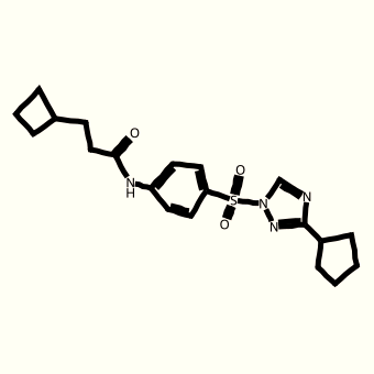 O=C(CCC1CCC1)Nc1ccc(S(=O)(=O)n2cnc(C3CCCC3)n2)cc1